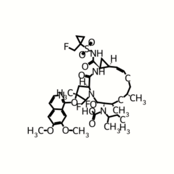 CCC(C)N(C(=O)O)[C@@H]1C(=O)N2[C@@H](C[C@@](C)(Oc3nccc4cc(OC)c(OC)cc34)C2(F)F)C(=O)N[C@]2(C(=O)NS(=O)(=O)C3(CF)CC3)C[C@H]2/C=C\CC[C@H](C)C[C@H]1C